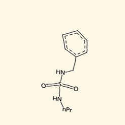 CCCNS(=O)(=O)NCc1ccccc1